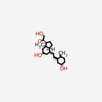 C=C1CC[C@H](O)C/C1=C/C=C1\C[C@@H](O)C[C@]2(C)[C@@H](C(=O)CO)CC[C@@H]12